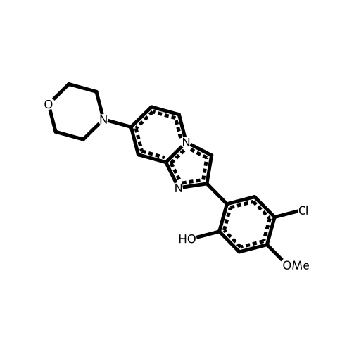 COc1cc(O)c(-c2cn3ccc(N4CCOCC4)cc3n2)cc1Cl